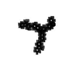 CC1(C)c2ccccc2-c2ccc(-c3ccc4cc5c6cc(-c7ccc8oc9ccccc9c8c7)cc7c8cc9ccc(-c%10ccc%11c(c%10)C(C)(C)c%10ccccc%10-%11)cc9cc8n(c5cc4c3)c67)cc21